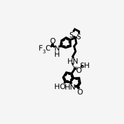 O=C(Nc1ccc(C2(CCCCNC[C@H](OS)c3ccc(O)c4[nH]c(=O)ccc34)SCCS2)cc1)C(F)(F)F